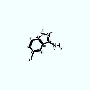 Nc1nsc2ccc(I)cc12